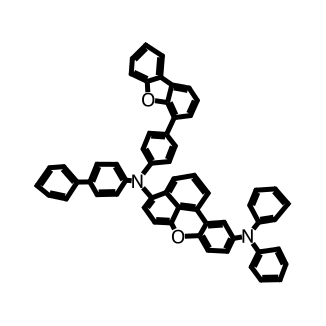 c1ccc(-c2ccc(N(c3ccc(-c4cccc5c4oc4ccccc45)cc3)c3ccc4c5c(cccc35)-c3cc(N(c5ccccc5)c5ccccc5)ccc3O4)cc2)cc1